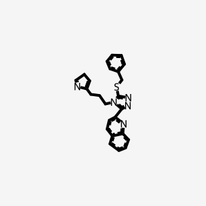 C1=NC(CCCn2c(SCc3ccccc3)nnc2-c2ccc3ccccc3n2)=CC1